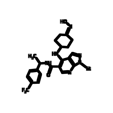 CCn1ncc2c(NC3CCC(=NO)CC3)c(C(=O)NC(C)c3ccc(C(F)(F)F)cc3)cnc21